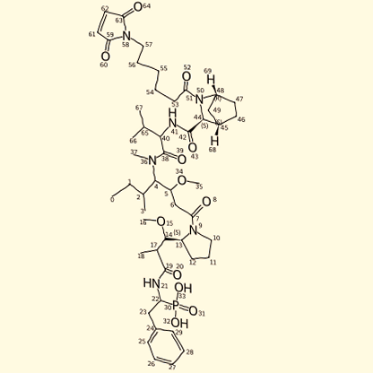 CCC(C)C(C(CC(=O)N1CCC[C@H]1C(OC)C(C)C(=O)NC(Cc1ccccc1)P(=O)(O)O)OC)N(C)C(=O)C(NC(=O)[C@@H]1[C@H]2CC[C@H](C2)N1C(=O)CCCCCN1C(=O)C=CC1=O)C(C)C